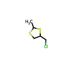 C[C]1SCC(CCl)S1